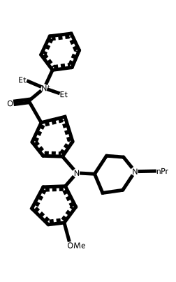 CCCN1CCC(N(c2ccc(C(=O)[N+](CC)(CC)c3ccccc3)cc2)c2cccc(OC)c2)CC1